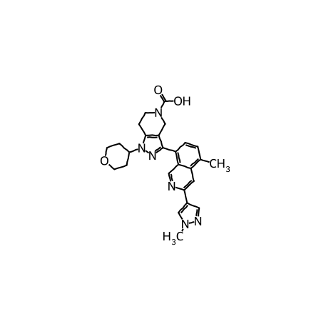 Cc1ccc(-c2nn(C3CCOCC3)c3c2CN(C(=O)O)CC3)c2cnc(-c3cnn(C)c3)cc12